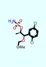 COCO[C@H](c1cc(Cl)ccc1Cl)[C@@H](C)OS(N)(=O)=O